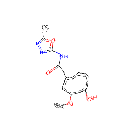 CC(C)(C)Oc1cc(C(=O)Nc2nnc(C(F)(F)F)o2)ccc1O